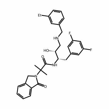 CCc1cccc(CNC[C@@H](O)[C@H](Cc2cc(F)cc(F)c2)NC(=O)C(C)(C)N2Cc3ccccc3C2=O)c1